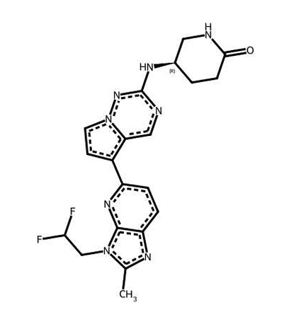 Cc1nc2ccc(-c3ccn4nc(N[C@@H]5CCC(=O)NC5)ncc34)nc2n1CC(F)F